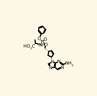 C[C@H](N[P@@](=O)(OC[C@@H]1C=C[C@H](n2cnc3cnc(N)nc32)C1)Oc1ccccc1)C(=O)O